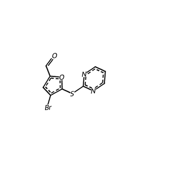 O=Cc1cc(Br)c(Sc2ncccn2)o1